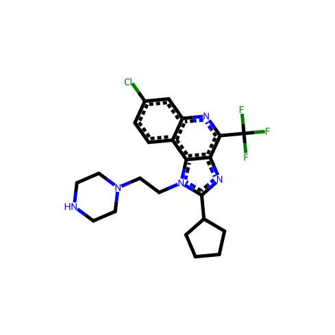 FC(F)(F)c1nc2cc(Cl)ccc2c2c1nc(C1CCCC1)n2CCN1CCNCC1